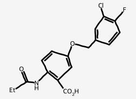 CCC(=O)Nc1ccc(OCc2ccc(F)c(Cl)c2)cc1C(=O)O